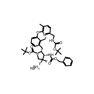 Cc1ccc(CNC(=O)OC(C)(C)C)nc1Oc1cccc(C[C@H]2[C@@H](NC(=O)OCc3ccccc3)C(F)(F)CN2C(=O)OC(C)(C)C)c1F.[BH4-].[Na+]